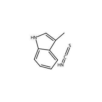 Cc1c[nH]c2ccccc12.N=C=S